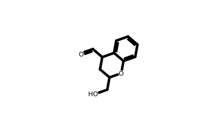 O=CC1CC(CO)Oc2ccccc21